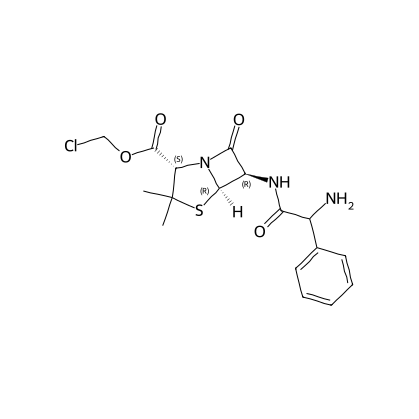 CC1(C)S[C@@H]2[C@H](NC(=O)C(N)c3ccccc3)C(=O)N2[C@H]1C(=O)OCCl